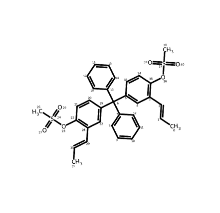 CC=Cc1cc(C(c2ccccc2)(c2ccccc2)c2ccc(OS(C)(=O)=O)c(C=CC)c2)ccc1OS(C)(=O)=O